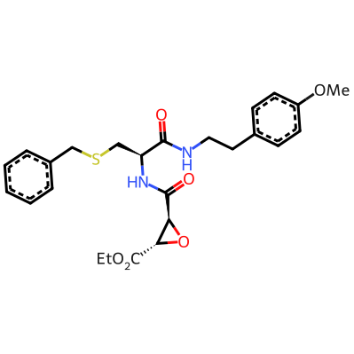 CCOC(=O)[C@H]1O[C@@H]1C(=O)N[C@@H](CSCc1ccccc1)C(=O)NCCc1ccc(OC)cc1